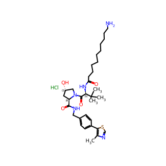 Cc1ncsc1-c1ccc(CNC(=O)[C@H]2C[C@H](O)CN2C(=O)[C@@H](NC(=O)CCCCCCCCCCN)C(C)(C)C)cc1.Cl